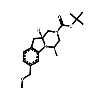 COCc1ccc2c(c1)N1[C@H](C2)CN(C(=O)OC(C)(C)C)C[C@H]1C